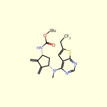 C=C1C(=C)[C@@H](N(C)c2ncnc3sc(CC(F)(F)F)cc23)C[C@H]1NC(=O)OC(C)(C)C